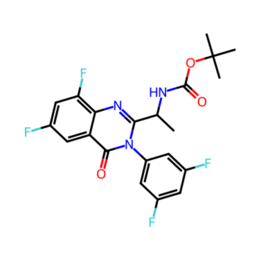 CC(NC(=O)OC(C)(C)C)c1nc2c(F)cc(F)cc2c(=O)n1-c1cc(F)cc(F)c1